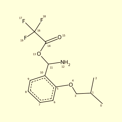 CC(C)COc1ccccc1C(N)OC(=O)C(F)(F)F